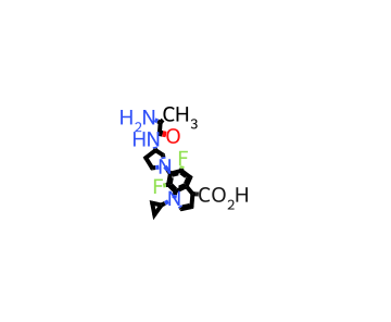 CC(N)C(=O)NC1CCN(c2c(F)cc3c(c2F)N(C2CC2)C=CC3C(=O)O)C1